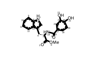 COC(=O)[C@H](Cc1c[nH]c2ccccc12)NC(=O)c1ccc(O)c(O)c1